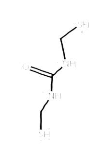 O=C(NCS)NCS